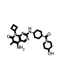 Cc1c(N)c2cnc(N[C@H]3CC[C@H](C(=O)N4CCC(O)CC4)CC3)nc2n(C2CCC2)c1=O